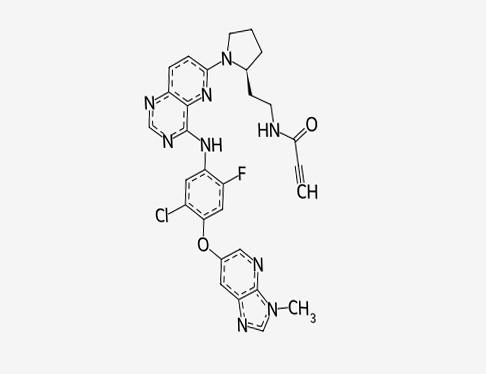 C#CC(=O)NCC[C@@H]1CCCN1c1ccc2ncnc(Nc3cc(Cl)c(Oc4cnc5c(c4)ncn5C)cc3F)c2n1